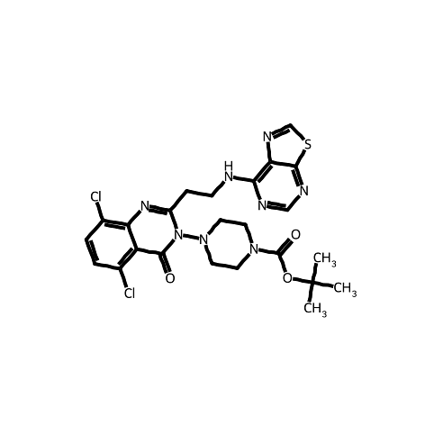 CC(C)(C)OC(=O)N1CCN(n2c(CCNc3ncnc4scnc34)nc3c(Cl)ccc(Cl)c3c2=O)CC1